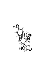 CC(=O)[C@@]1(O)CC[C@H]2[C@@H]3C(=O)CC4=C[C@H](O)C=C[C@]4(C)[C@H]3CC[C@@]21C